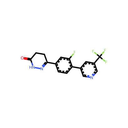 O=C1CCC(c2ccc(-c3cncc(C(F)(F)F)c3)c(F)c2)=NN1